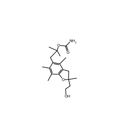 Cc1c(C)c2c(c(C)c1CC(C)(C)OC(N)=O)CC(C)(CCO)O2